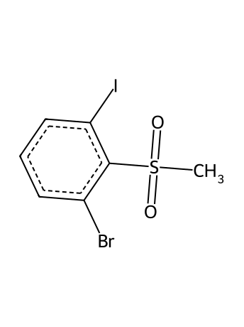 CS(=O)(=O)c1c(Br)cccc1I